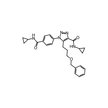 O=C(NC1CC1)c1ccc(-n2nnc(C(=O)NC3CC3)c2CCCOCc2ccccc2)cc1